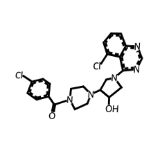 O=C(c1ccc(Cl)cc1)N1CCN(C2CN(c3ncnc4cccc(Cl)c34)CC2O)CC1